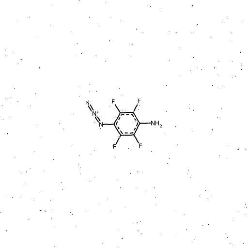 [N-]=[N+]=Nc1c(F)c(F)c(N)c(F)c1F